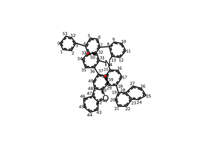 c1ccc(-c2ccc(-c3ccccc3N(c3ccc(-c4cccc5ccccc45)cc3)c3ccccc3-c3ccc4oc5ccccc5c4c3)cc2)cc1